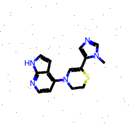 Cn1cncc1C1=CN(c2ccnc3[nH]ccc23)CCS1